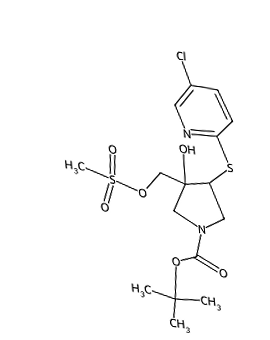 CC(C)(C)OC(=O)N1CC(Sc2ccc(Cl)cn2)C(O)(COS(C)(=O)=O)C1